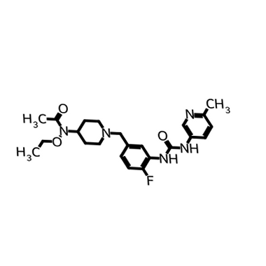 CCON(C(C)=O)C1CCN(Cc2ccc(F)c(NC(=O)Nc3ccc(C)nc3)c2)CC1